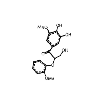 COc1ccccc1OC(CO)C(=O)c1cc(O)c(O)c(OC)c1